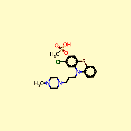 CN1CCN(CCCN2c3ccccc3Sc3ccc(Cl)cc32)CC1.CS(=O)(=O)O